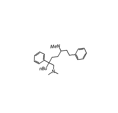 CCCCC(CCC(CCc1ccccc1)NC)(CN(C)C)c1ccccc1